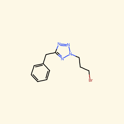 BrCCCn1nnc(Cc2ccccc2)n1